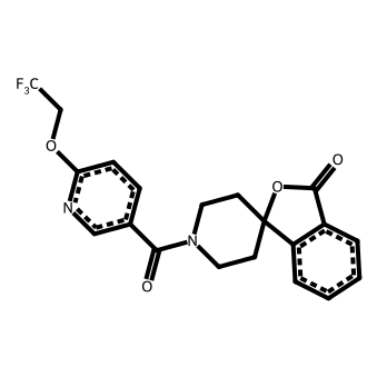 O=C1OC2(CCN(C(=O)c3ccc(OCC(F)(F)F)nc3)CC2)c2ccccc21